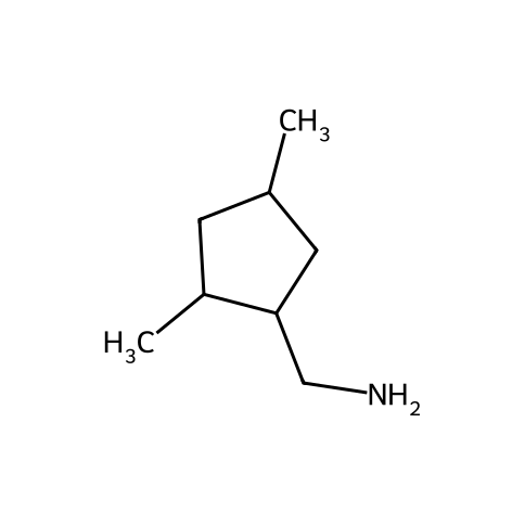 CC1CC(C)C(CN)C1